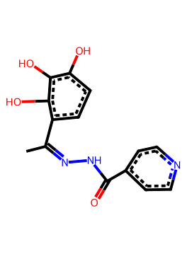 CC(=NNC(=O)c1ccncc1)c1ccc(O)c(O)c1O